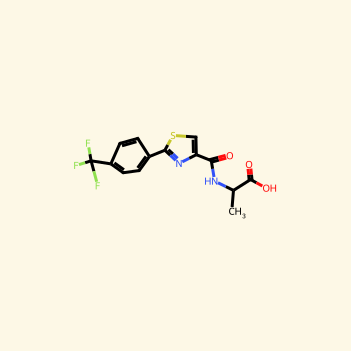 CC(NC(=O)c1csc(-c2ccc(C(F)(F)F)cc2)n1)C(=O)O